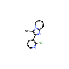 N#Cc1c(-c2cccnc2Cl)nc2ccccn12